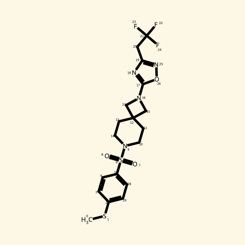 CSc1ccc(S(=O)(=O)N2CCC3(CC2)CN(c2nc(CC(F)(F)F)no2)C3)cc1